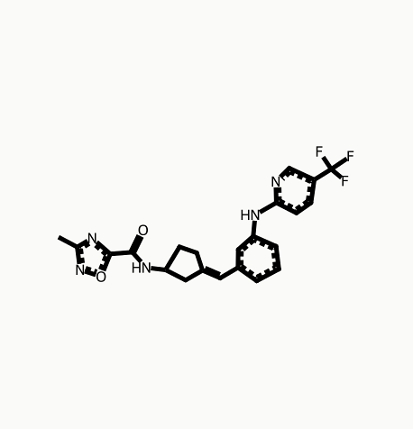 Cc1noc(C(=O)NC2CC/C(=C\c3cccc(Nc4ccc(C(F)(F)F)cn4)c3)C2)n1